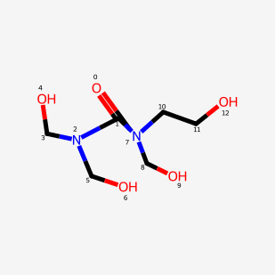 O=C(N(CO)CO)N(CO)CCO